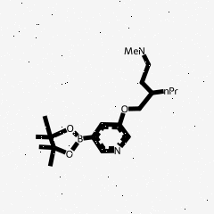 CCCC(CCNC)COc1cncc(B2OC(C)(C)C(C)(C)O2)c1